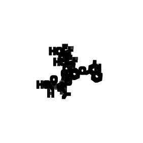 Cc1cc(COc2ccc(S(=O)(=O)C[C@@H]3CN(C(C)C)C[C@@H]3C(=O)NO)cc2)c2ccccc2n1.O=C(O)C(F)(F)F.O=C(O)C(F)(F)F